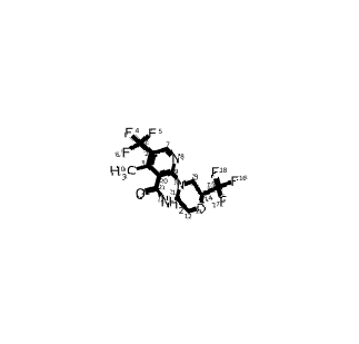 Cc1c(C(F)(F)F)cnc(N2CCOC(C(F)(F)F)C2)c1C(N)=O